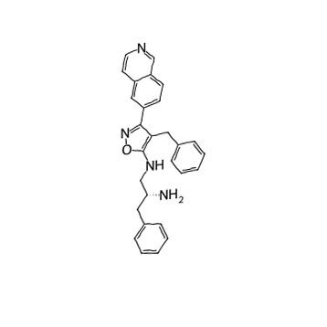 N[C@@H](CNc1onc(-c2ccc3cnccc3c2)c1Cc1ccccc1)Cc1ccccc1